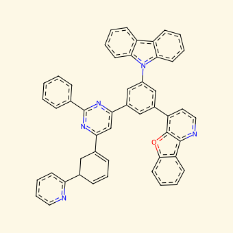 C1=CC(c2ccccn2)CC(c2cc(-c3cc(-c4ccnc5c4oc4ccccc45)cc(-n4c5ccccc5c5ccccc54)c3)nc(-c3ccccc3)n2)=C1